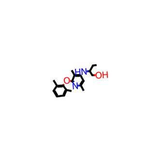 CCC(CO)Nc1cc(C)nc(Oc2c(C)cccc2C)c1C